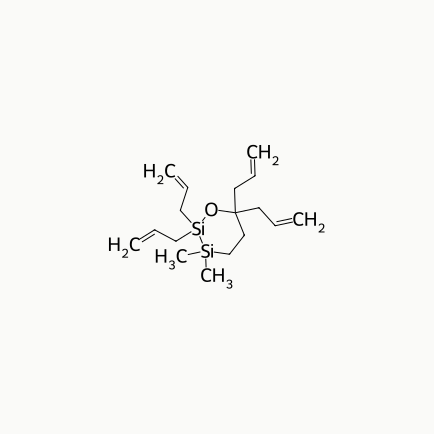 C=CCC1(CC=C)CC[Si](C)(C)[Si](CC=C)(CC=C)O1